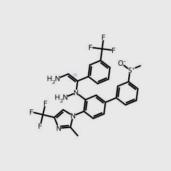 Cc1nc(C(F)(F)F)cn1-c1ccc(-c2cccc([S+](C)[O-])c2)cc1N(N)/C(=C\N)c1cccc(C(F)(F)F)c1